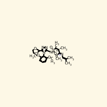 C=N/C(=N\C=C(C)C)[C@@H](C)[C@H](C)S(=O)(=O)Nc1nnc(C2OCCO2)n1-c1c(OC)cccc1OC